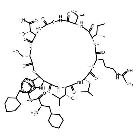 CC[C@H](C)[C@@H]1NC(=O)[C@@H](CCCNC(=N)N)NC(=O)[C@H](CC(C)C)NC(=O)[C@H]([C@H](O)C(C)C)NC(=O)[C@@H](NC(=O)[C@H](CC2CCCCC2)NC(=O)[C@H](N)CC2CCCCC2)[C@@H](c2ccccc2)OC(=O)[C@H](CO)NC(=O)[C@H]([C@H](O)C(N)=O)NC(=O)CNC(=O)[C@H]([C@H](C)O)NC1=O